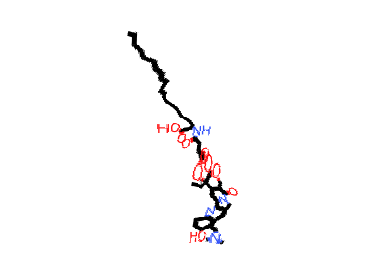 CCCCCCCCCCCCCCCCC(NC(=O)CCC(=O)O[C@]1(CC)C(=O)OCc2c1cc1n(c2=O)Cc2cc3c(CN(C)C)c(O)ccc3nc2-1)C(=O)O